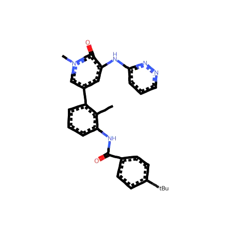 Cc1c(NC(=O)c2ccc(C(C)(C)C)cc2)cccc1-c1cc(Nc2cccnn2)c(=O)n(C)c1